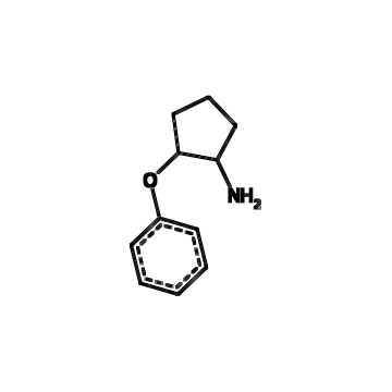 NC1CCCC1Oc1ccccc1